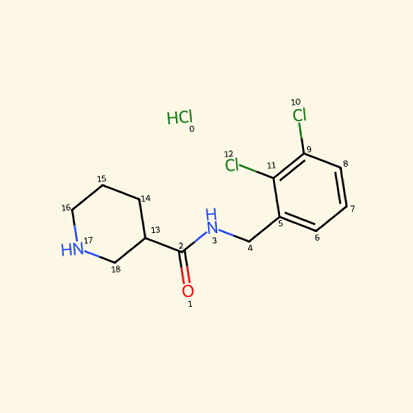 Cl.O=C(NCc1cccc(Cl)c1Cl)C1CCCNC1